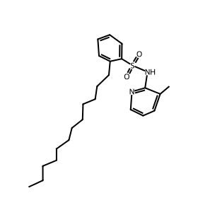 CCCCCCCCCCCCc1ccccc1S(=O)(=O)Nc1ncccc1C